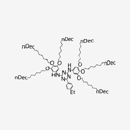 CCCCCCCCCCCCCCCCCOc1cc(Nc2nc(Nc3cc(OCCCCCCCCCCCCCCCCC)c(OCCCCCCCCCCCCCCCCC)c(OCCCCCCCCCCCCCCCCC)c3)nc(-c3ccc(CC)cc3)n2)cc(OCCCCCCCCCCCCCCCCC)c1OCCCCCCCCCCCCCCCCC